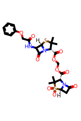 CC1(C)S[C@@H]2C(NC(=O)COc3ccccc3)C(=O)N2[C@H]1C(=O)OCOC(=O)[C@@H]1N2C(=O)C[C@H]2S(=O)(=O)C1(C)C